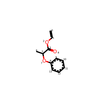 C=COC(=O)C(C)Oc1ccccc1